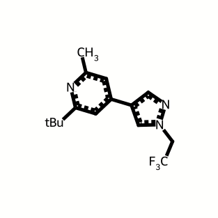 Cc1cc(-c2cnn(CC(F)(F)F)c2)cc(C(C)(C)C)n1